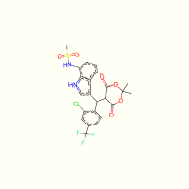 CC1(C)OC(=O)C(C(c2ccc(C(F)(F)F)cc2Cl)c2c[nH]c3c(NS(C)(=O)=O)cccc23)C(=O)O1